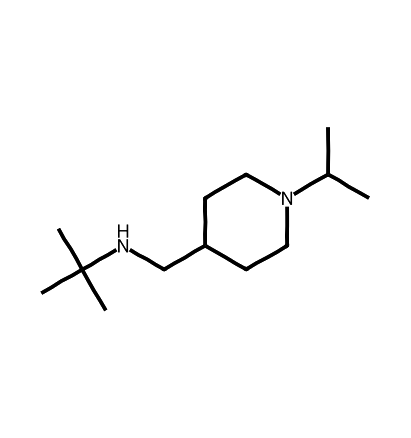 CC(C)N1CCC(CNC(C)(C)C)CC1